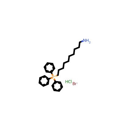 Cl.NCCCCCCCCCC[P+](c1ccccc1)(c1ccccc1)c1ccccc1.[Br-]